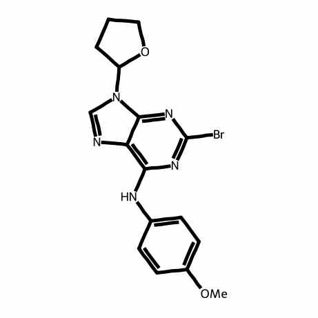 COc1ccc(Nc2nc(Br)nc3c2ncn3C2CCCO2)cc1